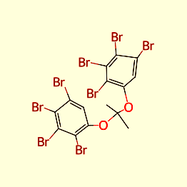 CC(C)(Oc1cc(Br)c(Br)c(Br)c1Br)Oc1cc(Br)c(Br)c(Br)c1Br